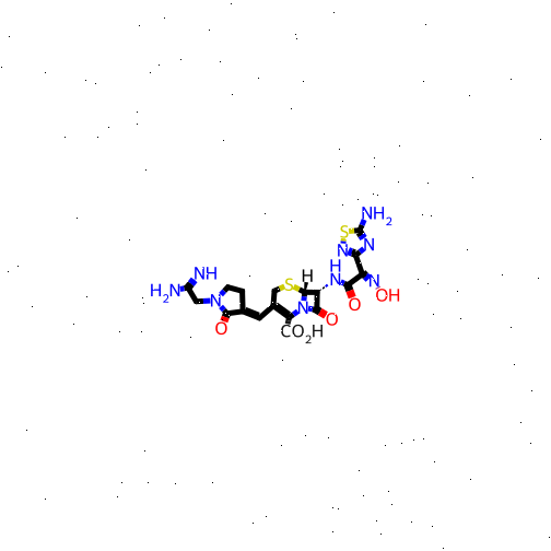 N=C(N)CN1CC/C(=C\C2=C(C(=O)O)N3C(=O)[C@@H](NC(=O)/C(=N\O)c4nsc(N)n4)[C@H]3SC2)C1=O